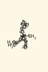 CCCCn1c(-c2ccc(Oc3ccc(Cl)c(C(F)(F)F)c3)cc2)nc2c(OCCCN(CC)CC)cc(OCCN3CCCC3)cc21